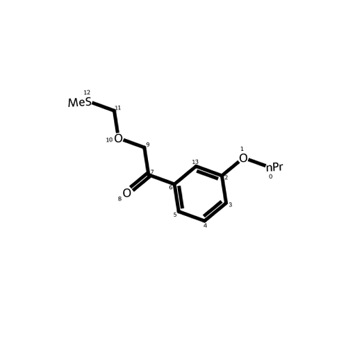 CCCOc1cccc(C(=O)COCSC)c1